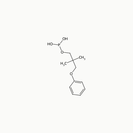 CC(C)(COc1ccccc1)COP(O)O